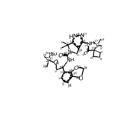 CC1(C)c2[nH]nc(NC(=O)C3([Si](C)(C)C)CCC3)c2CN1C(=O)NC(CO[Si](C)(C)C(C)(C)C)c1cccc2c1OCO2